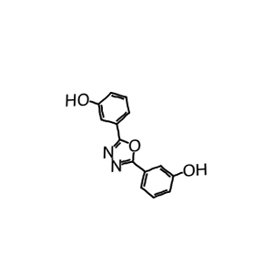 Oc1cccc(-c2nnc(-c3cccc(O)c3)o2)c1